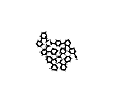 N#Cc1ccc(-c2cccc(-c3ccc(-c4nc(-c5ccccc5-c5ccccc5)nc(-c5ccccc5-c5ccccc5)n4)cc3)c2-c2ccc(-c3nc(-c4ccccc4-c4ccccc4)nc(-c4ccccc4-c4ccccc4)n3)cc2)cc1